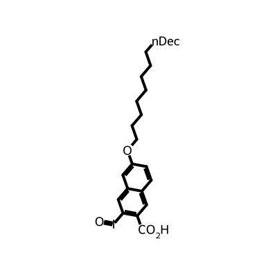 CCCCCCCCCCCCCCCCCCOc1ccc2cc(C(=O)O)c(I=O)cc2c1